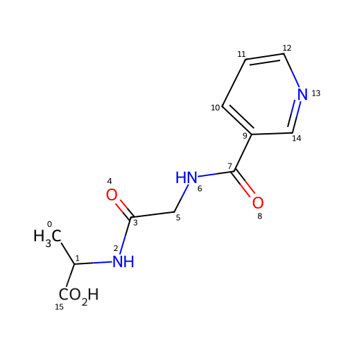 CC(NC(=O)CNC(=O)c1cccnc1)C(=O)O